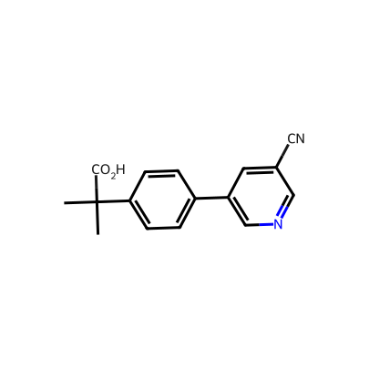 CC(C)(C(=O)O)c1ccc(-c2cncc(C#N)c2)cc1